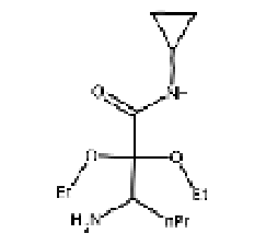 CCCC(N)C(OCC)(OCC)C(=O)NC1CC1